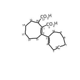 O=C(O)C1=C(C2=CCCCCCC2)CCCCCC1C(=O)O